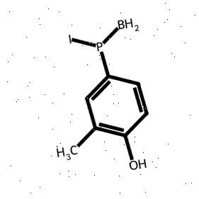 BP(I)c1ccc(O)c(C)c1